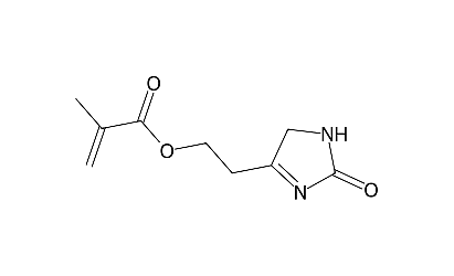 C=C(C)C(=O)OCCC1=NC(=O)NC1